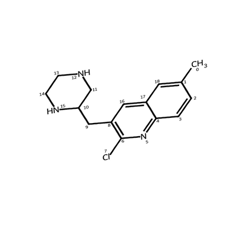 Cc1ccc2nc(Cl)c(CC3CNCCN3)cc2c1